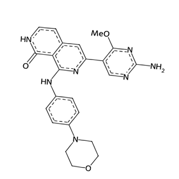 COc1nc(N)ncc1-c1cc2cc[nH]c(=O)c2c(Nc2ccc(N3CCOCC3)cc2)n1